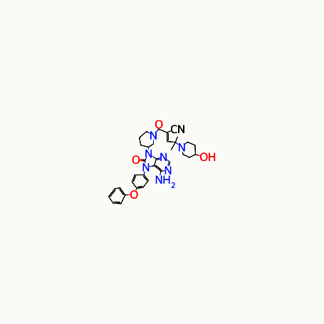 CC(C)(C=C(C#N)C(=O)N1CCCC(n2c(=O)n(-c3ccc(Oc4ccccc4)cc3)c3c(N)ncnc32)C1)N1CCC(O)CC1